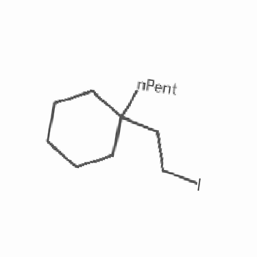 CCCCCC1(CCI)CCCCC1